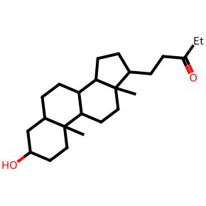 CCC(=O)CCC1CCC2C3CCC4CC(O)CCC4(C)C3CCC12C